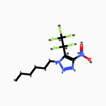 CCCCCCn1nnc([N+](=O)[O-])c1C(F)(F)C(F)(F)F